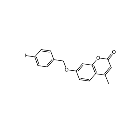 Cc1cc(=O)oc2cc(OCc3ccc(I)cc3)ccc12